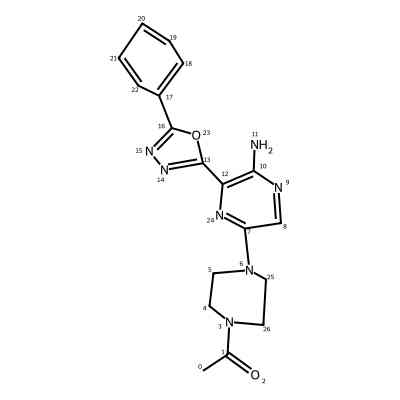 CC(=O)N1CCN(c2cnc(N)c(-c3nnc(-c4ccccc4)o3)n2)CC1